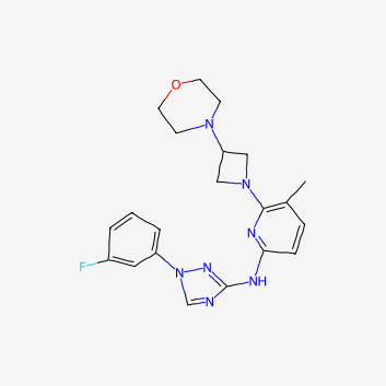 Cc1ccc(Nc2ncn(-c3cccc(F)c3)n2)nc1N1CC(N2CCOCC2)C1